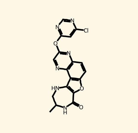 CC1CNc2c(oc3ccc4nc(Oc5cc(Cl)ncn5)cnc4c23)C(=O)N1